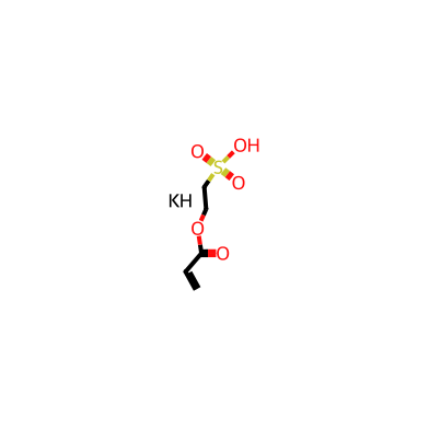 C=CC(=O)OCCS(=O)(=O)O.[KH]